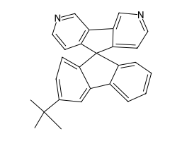 CC(C)(C)c1ccc2c(c1)-c1ccccc1C21c2ccncc2-c2cnccc21